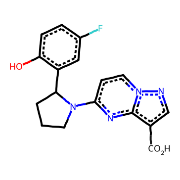 O=C(O)c1cnn2ccc(N3CCCC3c3cc(F)ccc3O)nc12